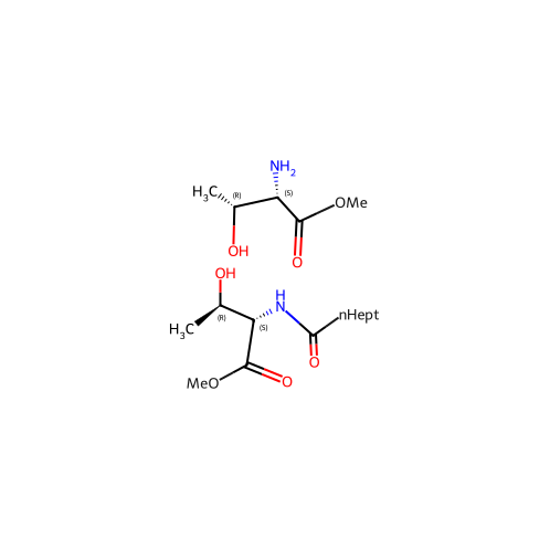 CCCCCCCC(=O)N[C@H](C(=O)OC)[C@@H](C)O.COC(=O)[C@@H](N)[C@@H](C)O